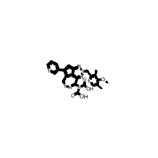 COc1c(C)cnc(Cn2nc3cc(-c4cccnc4)c4c-3c(n2)C(N(C(=O)O)C(=O)O)=NSC4)c1C